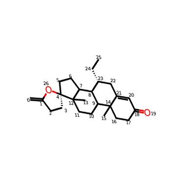 C=C1CC[C@@]2(CCC3C4C(CCC32C)C2(C)CCC(=O)C=C2C[C@H]4CC)O1